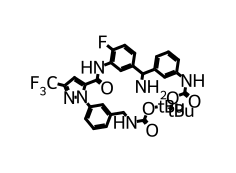 CC(C)(C)OC(=O)NCc1cccc(-n2nc(C(F)(F)F)cc2C(=O)Nc2cc(C(N)c3cccc(NC(=O)OC(C)(C)C)c3)ccc2F)c1